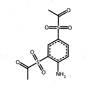 CC(=O)S(=O)(=O)c1ccc(N)c(S(=O)(=O)C(C)=O)c1